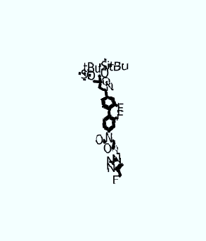 CC(C)(C)[Si](C)(C)OCC1(CO[Si](C)(C)C(C)(C)C)CC(c2ccc(-c3ccc(N4C[C@H](Cn5cc(CF)nn5)OC4=O)cc3F)c(F)c2)=NO1